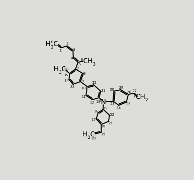 C=C/C=C\C=C(/C)c1cc(-c2ccc(N(C3=CC=C(C=C)CC3)c3ccc(C=C)cc3)cc2)ccc1C